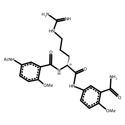 COc1ccc(NC(=O)[C@@H](CCCNC(=N)N)NC(=O)c2cc(NC(C)=O)ccc2OC)cc1C(N)=O